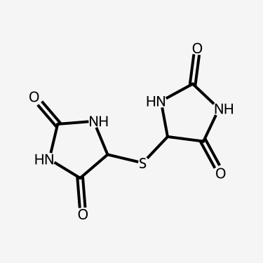 O=C1NC(=O)C(SC2NC(=O)NC2=O)N1